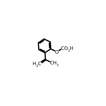 C=C(C)c1ccccc1OC(=O)O